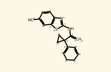 C=C(Nc1nc2ccc(C#N)cc2s1)C1(C2=CCCC=C2)CC1